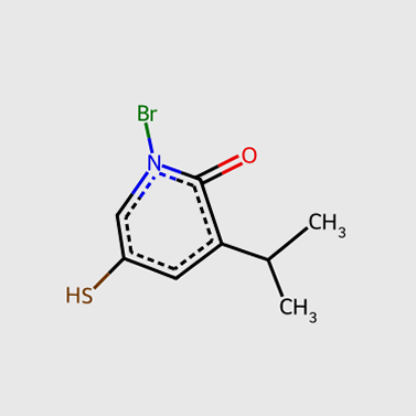 CC(C)c1cc(S)cn(Br)c1=O